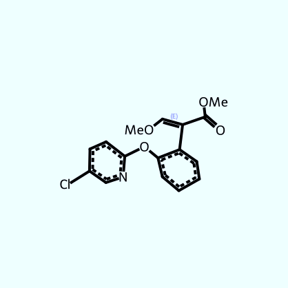 CO/C=C(/C(=O)OC)c1ccccc1Oc1ccc(Cl)cn1